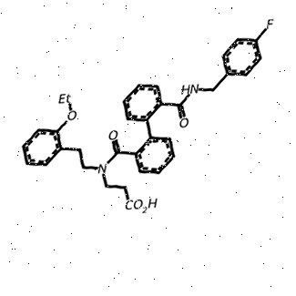 CCOc1ccccc1CCN(CCC(=O)O)C(=O)c1ccccc1-c1ccccc1C(=O)NCc1ccc(F)cc1